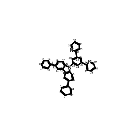 c1ccc(-c2ccc3c(c2)c2cc(-c4ccccc4)ccc2n3-c2cc(-c3ccccn3)cc(-c3ccccn3)c2)cc1